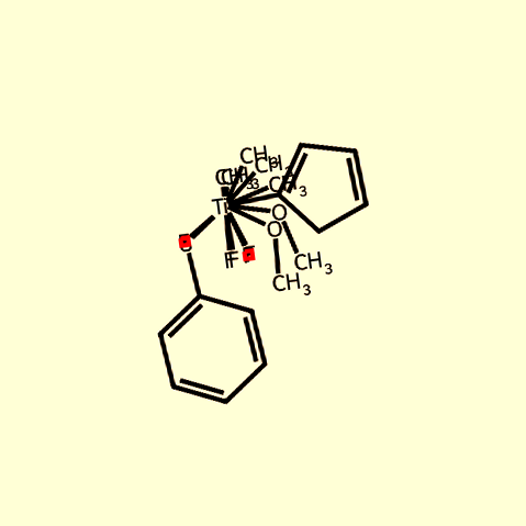 C[O][Ti]([CH3])([CH3])([CH3])([CH3])([CH3])([F])([F])([F])([F])([F])([O]C)([S]c1ccccc1)[C]1=CC=CC1